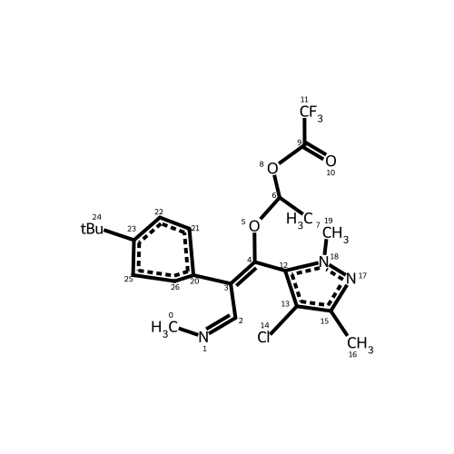 C/N=C\C(=C(\OC(C)OC(=O)C(F)(F)F)c1c(Cl)c(C)nn1C)c1ccc(C(C)(C)C)cc1